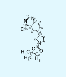 CC(C)(C)OC(=O)N1CCC(c2ccc3ncnc(Cl)c3c2)C1